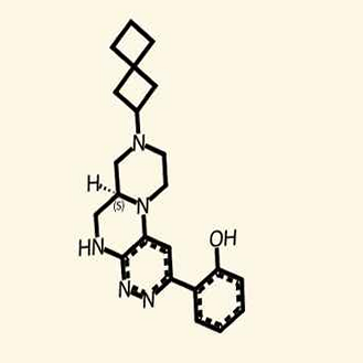 Oc1ccccc1-c1cc2c(nn1)NC[C@H]1CN(C3CC4(CCC4)C3)CCN21